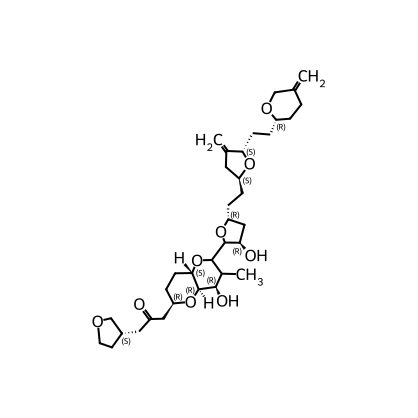 C=C1CC[C@H](CC[C@@H]2O[C@@H](CC[C@@H]3C[C@@H](O)C(C4O[C@H]5CC[C@H](CC(=O)C[C@@H]6CCOC6)O[C@@H]5[C@H](O)C4C)O3)CC2=C)OC1